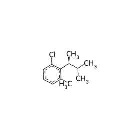 Cc1cccc(Cl)c1[C@@H](C)C(C)C